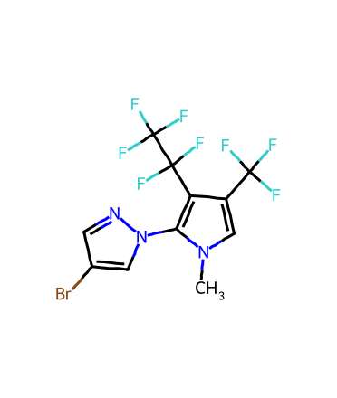 Cn1cc(C(F)(F)F)c(C(F)(F)C(F)(F)F)c1-n1cc(Br)cn1